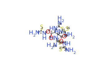 NC(=S)NOC(=O)C(NC(N)=S)C(NC(N)=S)(NC(N)=S)C(=O)ONC(N)=S